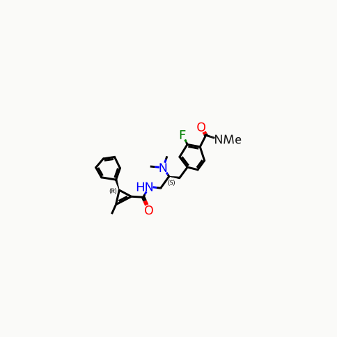 CNC(=O)c1ccc(C[C@@H](CNC(=O)C2=C(C)[C@H]2c2ccccc2)N(C)C)cc1F